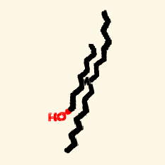 CCCCCCCCO.CCCCCCC[CH2][Al][CH2]CCCCCCC